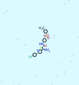 Cc1ccc(OS(=O)(=O)c2ccc(NC(=O)c3sc4nc(-c5ccc(Cl)cc5)ccc4c3N)cc2)cc1